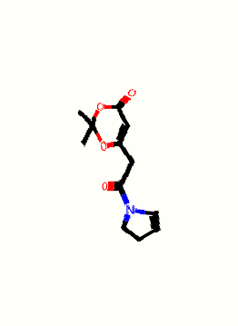 CC1(C)OC(=O)C=C(CC(=O)N2C=CCC2)O1